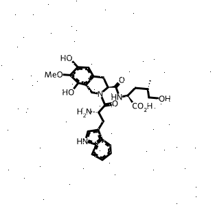 COc1c(O)cc2c(c1O)CN(C(=O)[C@@H](N)Cc1c[nH]c3ccccc13)[C@H](C(=O)N[C@@H](C[C@H](C)CO)C(=O)O)C2